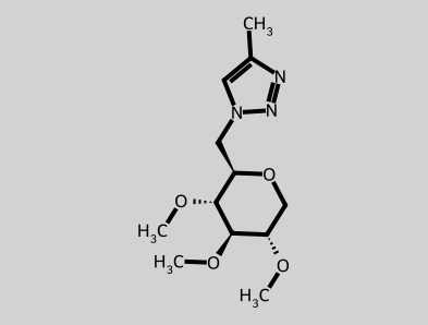 CO[C@H]1[C@H](OC)[C@@H](Cn2cc(C)nn2)OC[C@@H]1OC